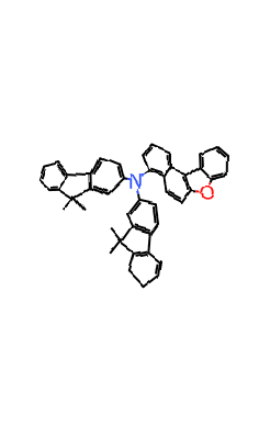 CC1(C)C2=C(C=CCC2)c2ccc(N(c3ccc4c(c3)C(C)(C)c3ccccc3-4)c3cccc4c3ccc3oc5ccccc5c34)cc21